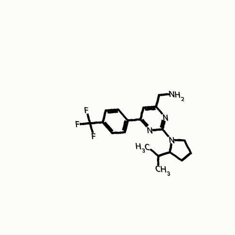 CC(C)C1CCCN1c1nc(CN)cc(-c2ccc(C(F)(F)F)cc2)n1